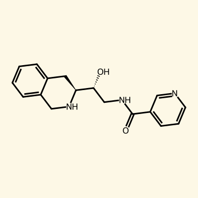 O=C(NC[C@@H](O)[C@@H]1Cc2ccccc2CN1)c1cccnc1